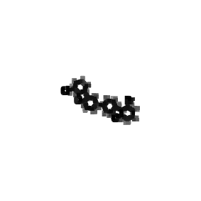 Clc1cccc2c1oc1ccc(-c3ccc4c(c3)oc3cccc(Br)c34)cc12